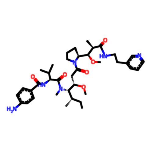 CC[C@H](C)[C@@H]([C@H](CC(=O)N1CCC[C@H]1[C@H](OC)[C@@H](C)C(=O)NCCc1cccnc1)OC)N(C)C(=O)[C@@H](NC(=O)c1ccc(N)cc1)C(C)C